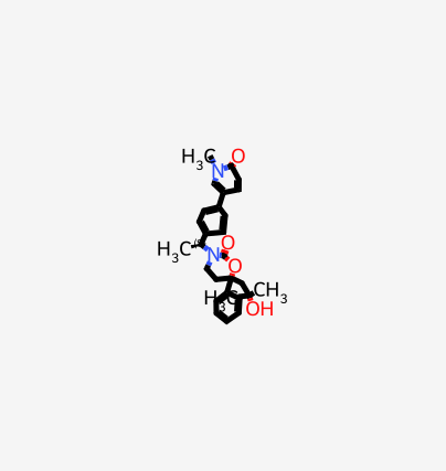 C[C@@H](c1ccc(-c2ccc(=O)n(C)c2)cc1)N1CCC(CC(C)(C)O)(c2ccccc2)OC1=O